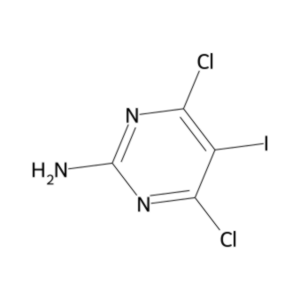 Nc1nc(Cl)c(I)c(Cl)n1